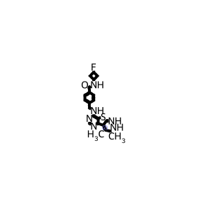 CC(=N)/C(C)=C1\C(=N)Sc2c(NCc3ccc(C(=O)NC4CC(F)C4)cc3)ncnc21